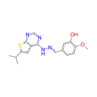 COc1ccc(/C=N/Nc2ncnc3sc(C(C)C)cc23)cc1O